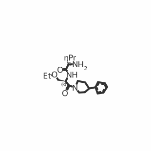 CCC[C@H](N)C(=O)N[C@H](COCC)C(=O)N1CCC(c2ccccc2)CC1